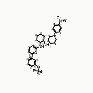 NC1([C@H]2CCCN(c3ccc([N+](=O)[O-])cc3)C2)CCCCC1Nc1nccc(-c2cccc(OC(F)(F)F)c2)n1